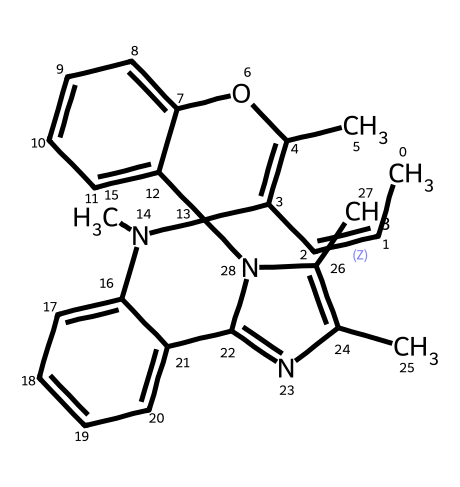 C/C=C\C1=C(C)Oc2ccccc2C12N(C)c1ccccc1-c1nc(C)c(C)n12